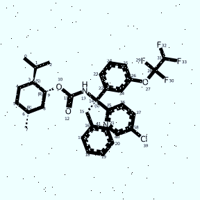 CC(C)[C@@H]1CC[C@@H](C)C[C@H]1OC(=O)N[C@@](Cc1ccccc1)(c1cccc(OC(F)(F)C(F)F)c1)c1ccc(Cl)cn1